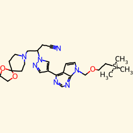 C[Si](C)(C)CCOCn1ccc2c(-c3cnn(C(CC#N)CN4CCC5(CC4)OCCO5)c3)ncnc21